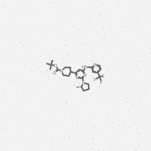 C[C@@H]1CCCN1c1nc(Nc2cc(C(F)(F)F)ccn2)cc(C2CCN(C(=O)OC(C)(C)C)CC2)n1